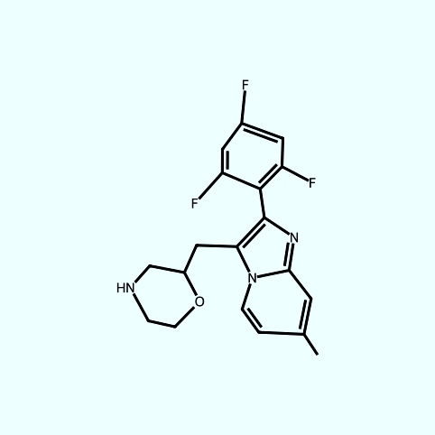 Cc1ccn2c(CC3CNCCO3)c(-c3c(F)cc(F)cc3F)nc2c1